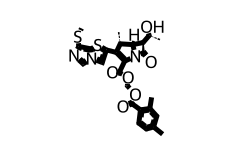 CSc1ncn2cc(C3=C(C(=O)OCOC(=O)c4ccc(C)cc4C)N4C(=O)[C@H]([C@@H](C)O)[C@H]4[C@H]3C)sc12